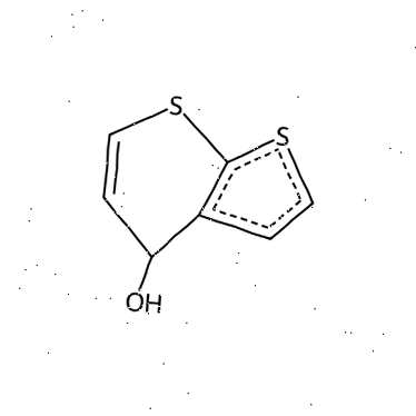 OC1C=CSc2sccc21